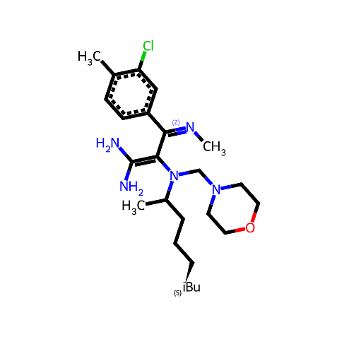 CC[C@H](C)CCCC(C)N(CN1CCOCC1)C(=C(N)N)/C(=N\C)c1ccc(C)c(Cl)c1